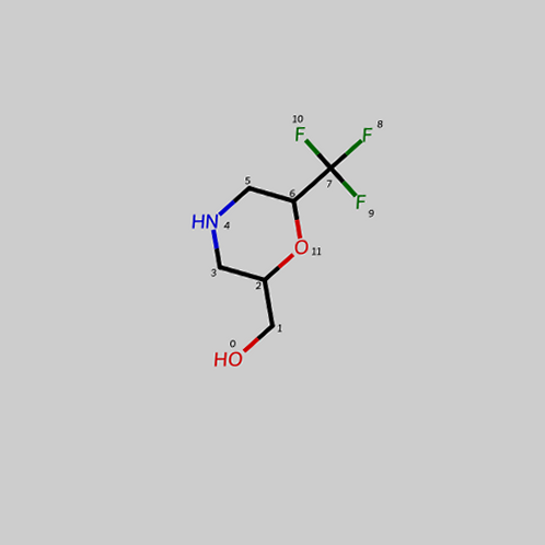 OCC1CNCC(C(F)(F)F)O1